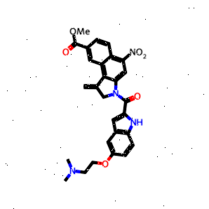 C=C1CN(C(=O)c2cc3cc(OCCN(C)C)ccc3[nH]2)c2cc([N+](=O)[O-])c3ccc(C(=O)OC)cc3c21